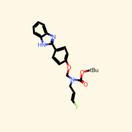 CC(C)(C)OC(=O)N(CC=CF)COc1ccc(-c2nc3ccccc3[nH]2)cc1